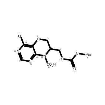 CC(C)(C)OC(=O)OCC1COc2c(Cl)ncnc2N1C(=O)O